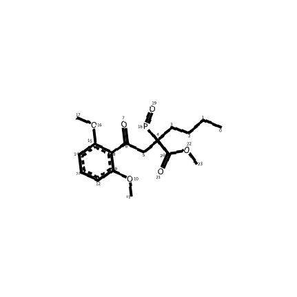 CCCCC(CC(=O)c1c(OC)cccc1OC)(P=O)C(=O)OC